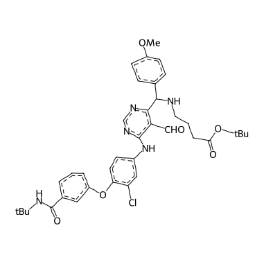 COc1ccc(C(NCCCC(=O)OC(C)(C)C)c2ncnc(Nc3ccc(Oc4cccc(C(=O)NC(C)(C)C)c4)c(Cl)c3)c2C=O)cc1